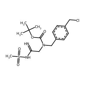 CC(C)(C)OC(=O)N(CC(=N)NS(C)(=O)=O)Cc1ccc(CCl)cc1